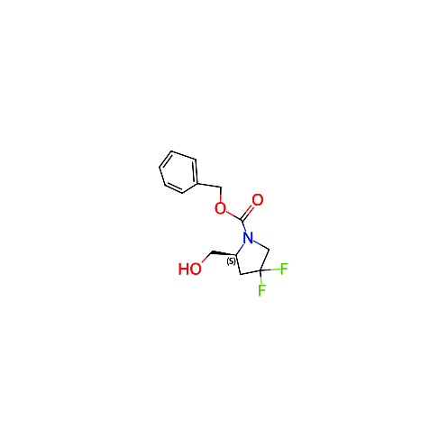 O=C(OCc1ccccc1)N1CC(F)(F)C[C@H]1CO